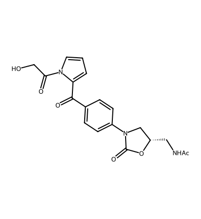 CC(=O)NC[C@H]1CN(c2ccc(C(=O)c3cccn3C(=O)CO)cc2)C(=O)O1